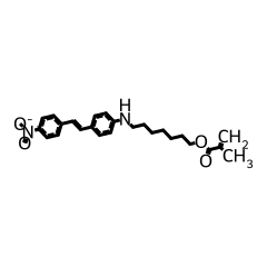 C=C(C)C(=O)OCCCCCCCNc1ccc(C=Cc2ccc([N+](=O)[O-])cc2)cc1